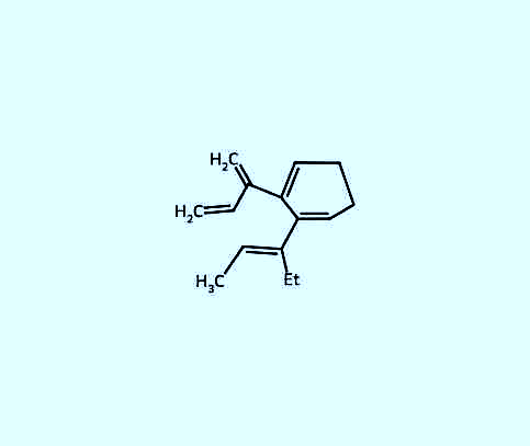 C=CC(=C)C1=CCCC=C1/C(=C/C)CC